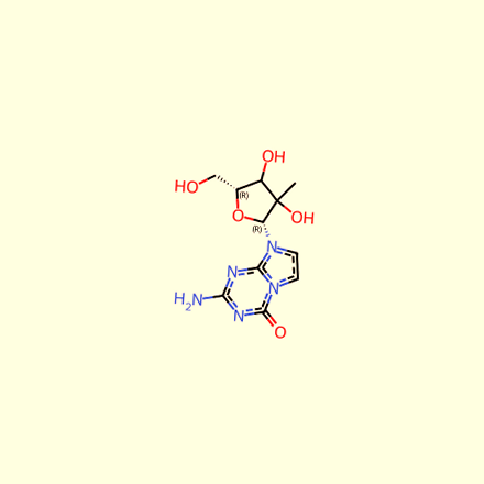 CC1(O)C(O)[C@@H](CO)O[C@H]1n1ccn2c(=O)nc(N)nc12